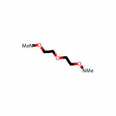 CNOCCOCCONC